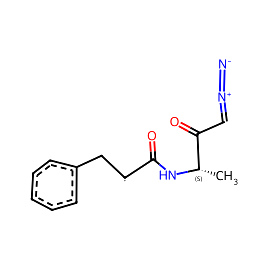 C[C@H](NC(=O)[CH]Cc1ccccc1)C(=O)C=[N+]=[N-]